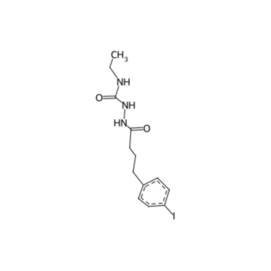 CCNC(=O)NNC(=O)CCCc1ccc(I)cc1